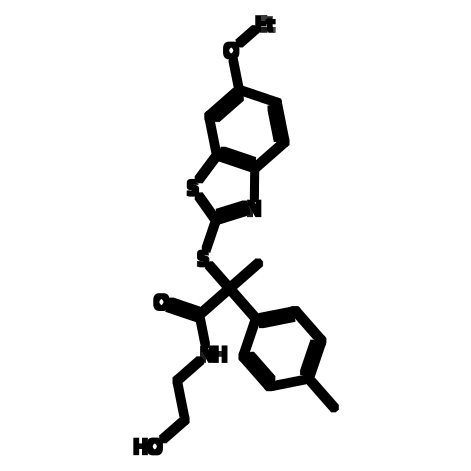 CCOc1ccc2nc(SC(C)(C(=O)NCCO)c3ccc(C)cc3)sc2c1